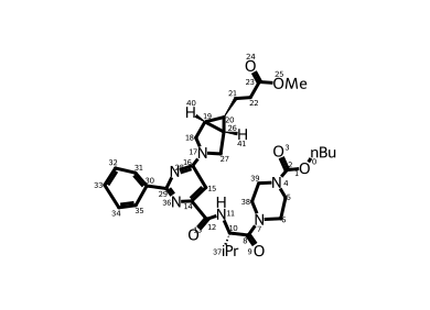 CCCCOC(=O)N1CCN(C(=O)[C@@H](NC(=O)c2cc(N3C[C@@H]4[C@@H](CCC(=O)OC)[C@@H]4C3)nc(-c3ccccc3)n2)C(C)C)CC1